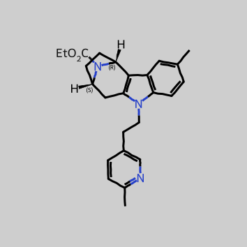 CCOC(=O)N1[C@H]2CC[C@@H]1c1c(n(CCc3ccc(C)nc3)c3ccc(C)cc13)C2